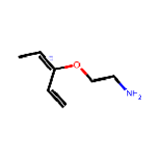 C=C/C(=C\C)OCCN